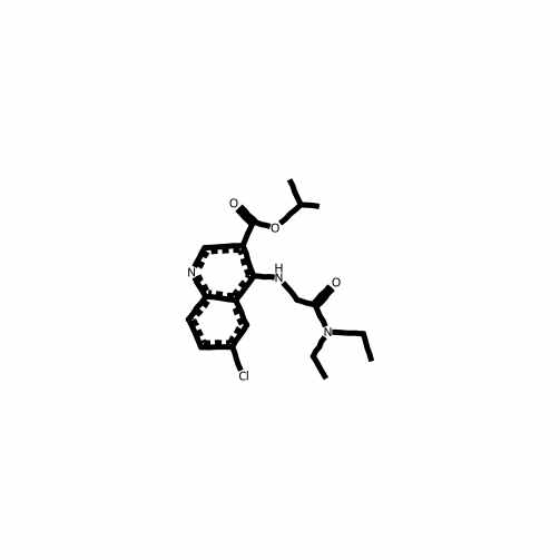 CCN(CC)C(=O)CNc1c(C(=O)OC(C)C)cnc2ccc(Cl)cc12